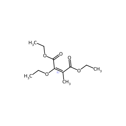 CCOC(=O)/C(C)=C(/OCC)C(=O)OCC